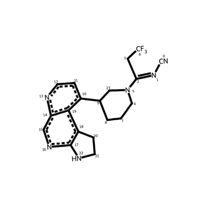 N#C/N=C(\CC(F)(F)F)N1CCCC(c2ccnc3cnc4c(c23)CCN4)C1